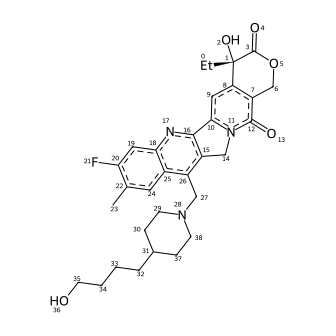 CC[C@@]1(O)C(=O)OCc2c1cc1n(c2=O)Cc2c-1nc1cc(F)c(C)cc1c2CN1CCC(CCCCO)CC1